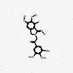 CCOc1cc2c(c(F)c1OCC)/C(=N/Br)N(CC(=O)c1cc(NC)c(OC)c(C(C)(C)C)c1)C2